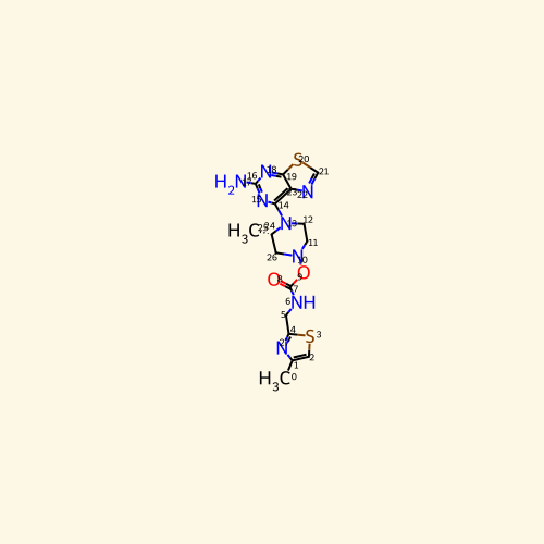 Cc1csc(CNC(=O)ON2CCN(c3nc(N)nc4scnc34)[C@@H](C)C2)n1